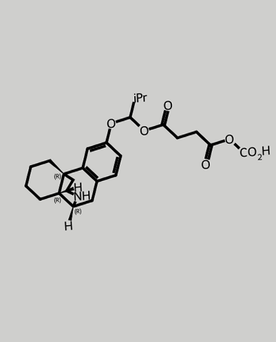 CC(C)C(OC(=O)CCC(=O)OC(=O)O)Oc1ccc2c(c1)[C@@]13CCCC[C@H]1[C@@H](C2)NCC3